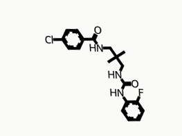 CC(C)(CNC(=O)Nc1ccccc1F)CNC(=O)c1ccc(Cl)cc1